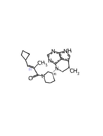 C/C(=C\C1CCC1)C(=O)N1CCC[C@@H](N2CC(C)c3c[nH]c4ncnc2c34)C1